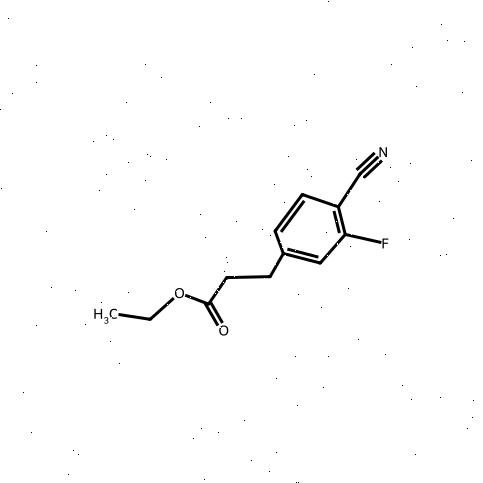 CCOC(=O)CCc1ccc(C#N)c(F)c1